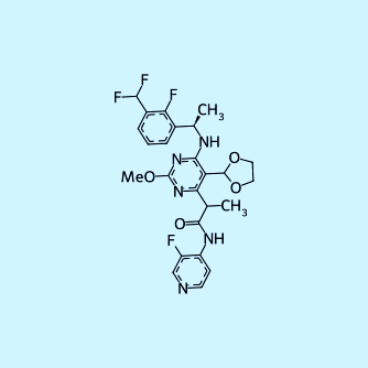 COc1nc(N[C@H](C)c2cccc(C(F)F)c2F)c(C2OCCO2)c(C(C)C(=O)Nc2ccncc2F)n1